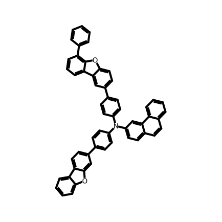 c1ccc(-c2cccc3c2oc2ccc(-c4ccc(N(c5ccc(-c6ccc7c(c6)oc6ccccc67)cc5)c5ccc6ccc7ccccc7c6c5)cc4)cc23)cc1